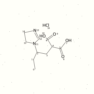 CCC(CC(C(=O)O)C(=O)O)N1C=NCC1.Cl